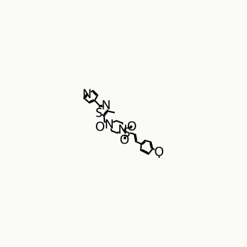 COc1ccc(/C=C/S(=O)(=O)N2CCN(C(=O)c3sc(-c4ccncc4)nc3C)CC2)cc1